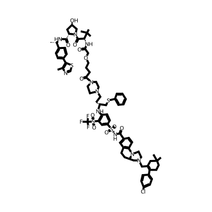 Cc1ncsc1-c1ccc([C@H](C)NC(=O)[C@@H]2C[C@@H](O)CN2C(=O)[C@@H](NC(=O)COCCCC(=O)N2CCN(CC[C@H](CSc3ccccc3)Nc3ccc(S(=O)(=O)NC(=O)c4ccc5c(c4)CCC4CN(CC6=C(c7ccc(Cl)cc7)CCC(C)(C)C6)CCN54)cc3S(=O)(=O)C(F)(F)F)CC2)C(C)(C)C)cc1